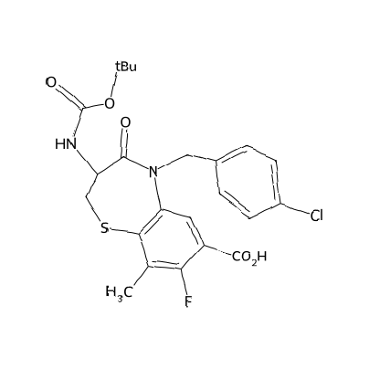 Cc1c(F)c(C(=O)O)cc2c1SCC(NC(=O)OC(C)(C)C)C(=O)N2Cc1ccc(Cl)cc1